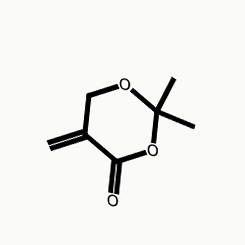 C=C1COC(C)(C)OC1=O